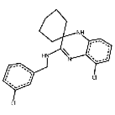 Clc1cccc(CNC2=Nc3c(Cl)cccc3NC23CCCCC3)c1